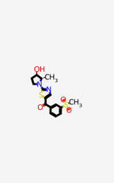 C[C@H]1[C@H](O)CCN1c1ncc(C(=O)c2cccc(S(C)(=O)=O)c2)s1